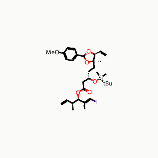 C=C[C@@H]1OC(c2ccc(OC)cc2)O[C@]1(C)CC[C@@H](CC(=O)O[C@@H](C(C)=CI)[C@@H](C)C=C)O[Si](C)(C)C(C)(C)C